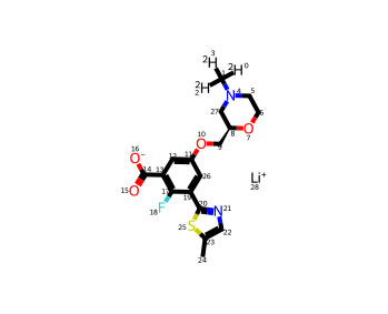 [2H]C([2H])([2H])N1CCO[C@@H](COc2cc(C(=O)[O-])c(F)c(-c3ncc(C)s3)c2)C1.[Li+]